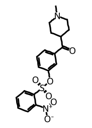 CN1CCC(C(=O)c2cccc(OS(=O)(=O)c3ccccc3[N+](=O)[O-])c2)CC1